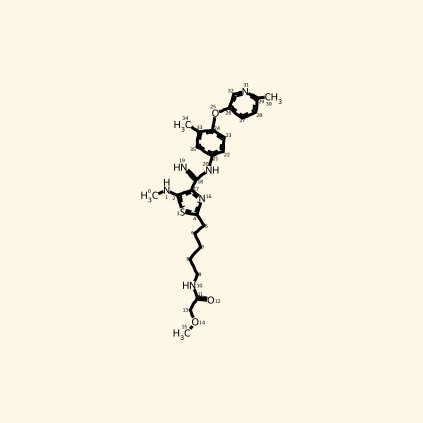 CNc1sc(CCCCCNC(=O)COC)nc1C(=N)Nc1ccc(Oc2ccc(C)nc2)c(C)c1